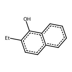 CCc1ccc2ccccc2c1O